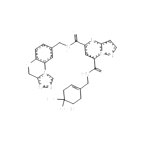 CC1(C(=O)O)CC=C(CNC(=O)c2cc(C(=O)NCc3ccc4c(c3)-n3cnnc3CO4)nc3ccnn23)CC1